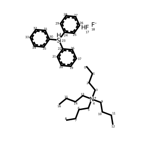 CCCC[N+](CCCC)(CCCC)CCCC.F.[F-].c1ccc([SiH](c2ccccc2)c2ccccc2)cc1